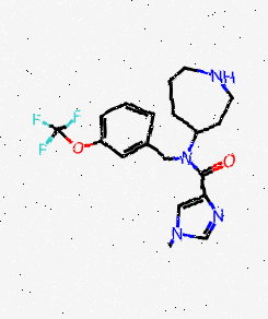 Cn1cnc(C(=O)N(Cc2cccc(OC(F)(F)F)c2)C2CCCNCC2)c1